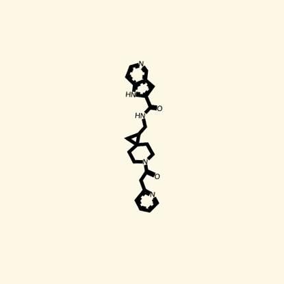 O=C(NCC1CC12CCN(C(=O)Cc1ccccn1)CC2)c1cc2cnccc2[nH]1